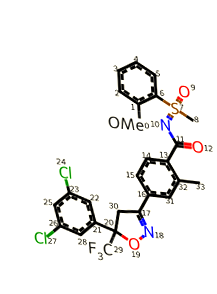 COc1ccccc1S(C)(=O)=NC(=O)c1ccc(C2=NOC(c3cc(Cl)cc(Cl)c3)(C(F)(F)F)C2)cc1C